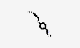 CC#CCOc1ccc(/C=N/O)cc1